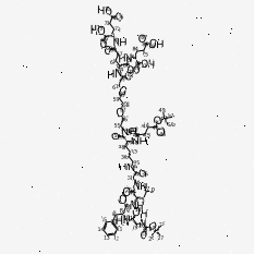 CC(C)CC(NC(=O)C(Cc1ccccc1)NC(=O)CNC(=O)OC(C)(C)C)C(=O)NCC(=O)NCCCCC(NC(=O)CCC(=O)OC(C)(C)C)C(=O)NCCOCCOCC(=O)NC(CCC(=O)NC(CCC(=O)O)C(=O)O)C(=O)NC(CCC(=O)O)C(=O)O